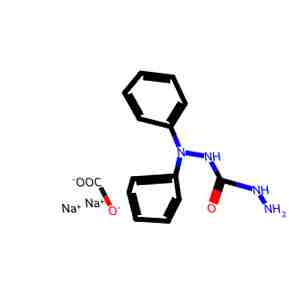 NNC(=O)NN(c1ccccc1)c1ccccc1.O=C([O-])[O-].[Na+].[Na+]